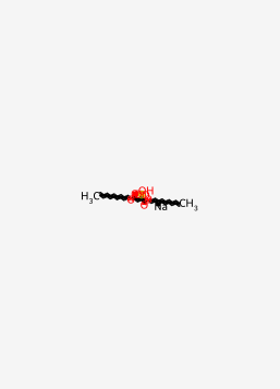 CCCCCCCCCCOC(=O)CC(C(=O)OCC[CH]([Na])CCCCCCC)S(=O)(=O)O